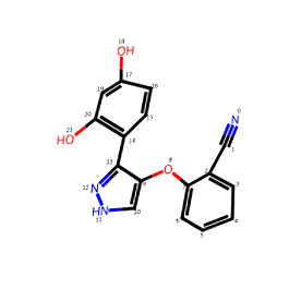 N#Cc1ccccc1Oc1c[nH]nc1-c1ccc(O)cc1O